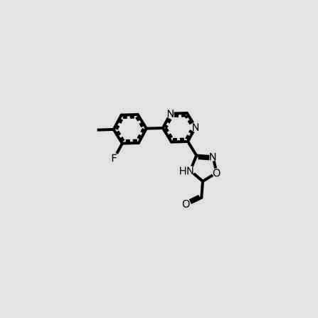 Cc1ccc(-c2cc(C3=NOC(C=O)N3)ncn2)cc1F